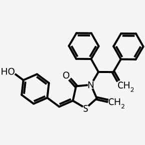 C=C(c1ccccc1)C(c1ccccc1)n1c(=C)s/c(=C/c2ccc(O)cc2)c1=O